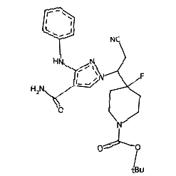 CC(C)(C)OC(=O)N1CCC(F)(C(CC#N)n2cc(C(N)=O)c(Nc3ccccc3)n2)CC1